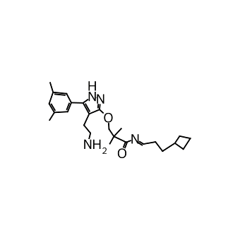 Cc1cc(C)cc(-c2[nH]nc(OCC(C)(C)C(=O)/N=C/CCC3CCC3)c2CCN)c1